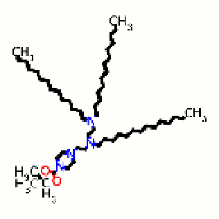 CCCCCCCCCCCCCCN(CCCCCCCCCCCCCC)CCN(CCCCCCCCCCCCCC)CCN1CCN(C(=O)OC(C)(C)C)CC1